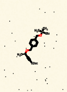 CCCCCCCCCCC#C[C@@H](C)OCc1ccc(CO[Si](C)(C)C(C)(C)C)cc1